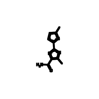 Cc1ccc(-c2nc(C)c(C(N)=O)s2)s1